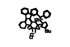 CC(C)(C)C1=CC[C]([Zr+2](=[C](c2ccccc2)c2ccccc2)[C]2(C)C3=C4Cc5ccccc5C4=C4C=CCCC4C3(C)C(C)(C)C(C)(C)C2(C)C)=C1.[Cl-].[Cl-]